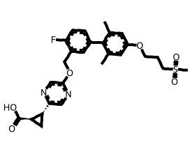 Cc1cc(OCCCS(C)(=O)=O)cc(C)c1-c1ccc(F)c(COc2cnc([C@@H]3C[C@H]3C(=O)O)cn2)c1